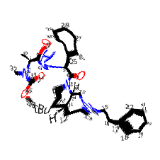 C[C@@H](C(=O)N[C@H](C(=O)N1CC[C@H]2CCN(CCc3ccccc3)C[C@H]21)C1CCCCC1)N(C)C(=O)OC(C)(C)C